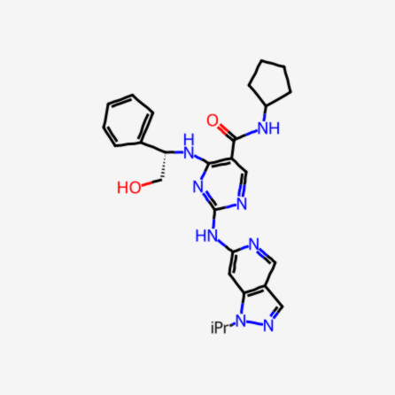 CC(C)n1ncc2cnc(Nc3ncc(C(=O)NC4CCCC4)c(N[C@H](CO)c4ccccc4)n3)cc21